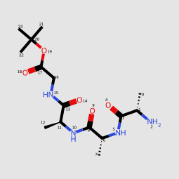 C[C@H](N)C(=O)N[C@H](C)C(=O)N[C@@H](C)C(=O)NCC(=O)OC(C)(C)C